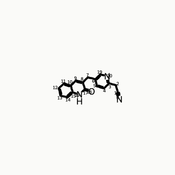 N#CCc1ccc(Cc2cc3ccccc3[nH]c2=O)cn1